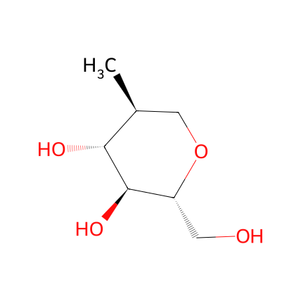 C[C@H]1CO[C@H](CO)[C@@H](O)[C@@H]1O